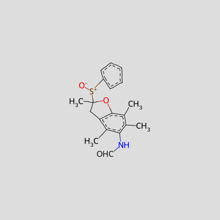 Cc1c(C)c2c(c(C)c1NC=O)CC(C)([S+]([O-])c1ccccc1)O2